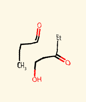 CCC(=O)CO.CCC=O